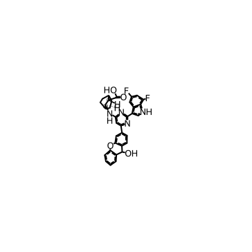 O=C(O)[C@H]1C2CCC(CC2)[C@@H]1Nc1cc(-c2ccc3c(c2)Oc2ccccc2C3O)nc(-c2c[nH]c3c(F)cc(F)cc23)n1